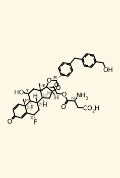 C[C@]12C=CC(=O)C=C1[C@@H](F)C[C@H]1[C@@H]3C[C@H]4O[C@@H](c5ccc(Cc6ccc(CO)cc6)cc5)O[C@@]4(C(=O)COC(=O)[C@@H](N)CC(=O)O)[C@@]3(C)C[C@H](O)[C@@]12F